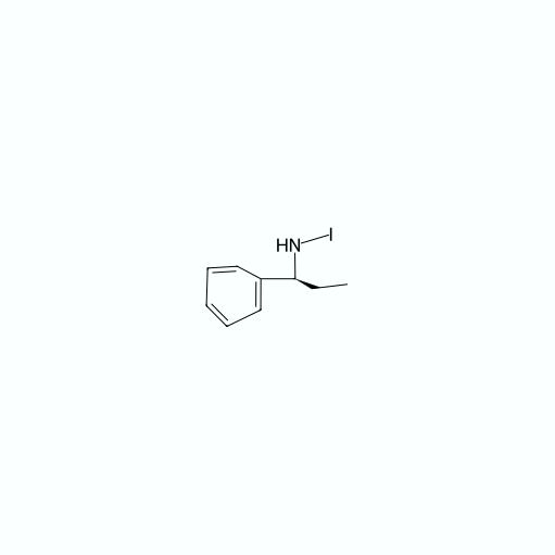 CC[C@H](NI)c1ccccc1